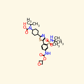 CC(C)N(C(=O)O)C1CCC(c2ncc(-c3ccc(NC(=O)OC4COC4)cc3S(=O)(=O)NC(C)(C)C)s2)CC1